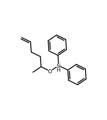 C=CCCC(C)O[SiH](c1ccccc1)c1ccccc1